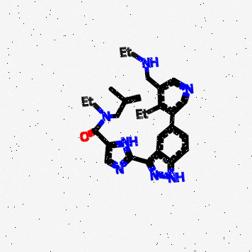 C=C(C)CN(CC)C(=O)c1cnc(-c2n[nH]c3ccc(-c4cncc(CNCC)c4CC)cc23)[nH]1